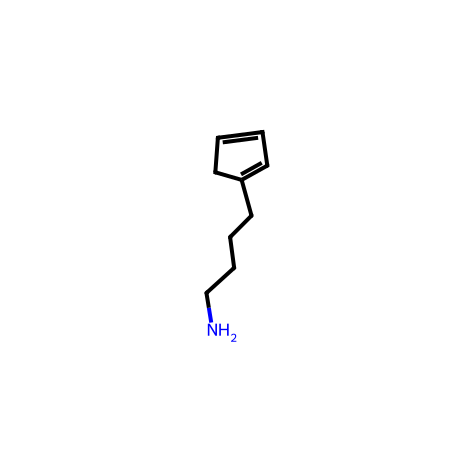 NCCCCC1=CC=CC1